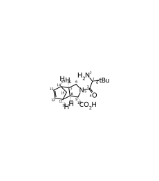 CC(C)(C)[C@H](N)C(=O)N1C[C@H]2[C@@H]([C@H]1C(=O)O)[C@H]1C=C[C@@H]2C1